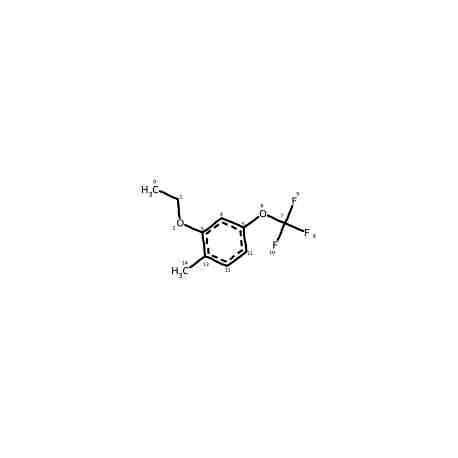 CCOc1cc(OC(F)(F)F)ccc1C